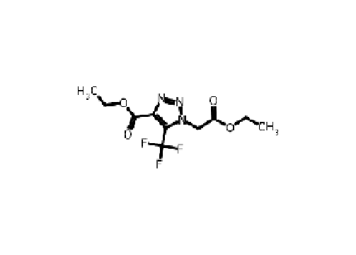 CCOC(=O)Cn1nnc(C(=O)OCC)c1C(F)(F)F